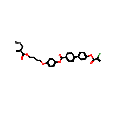 C=C(F)C(=O)Oc1ccc(-c2ccc(C(=O)Oc3ccc(OCCCCOC(=O)C(=C)COC)cc3)cc2)cc1